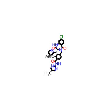 COc1cc(CN2C(=O)c3ccc(Cl)cc3NC(=O)[C@H]2Cc2ccccn2)ccc1C(=O)Nc1ncc(C)cn1